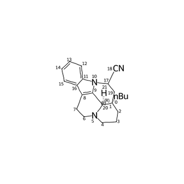 CCCC[C@@]12CCCN3CCc4c(n(c5ccccc45)C(C#N)C1)[C@H]32